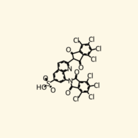 O=C1c2c(Cl)c(Cl)c(Cl)c(Cl)c2C(=O)C1c1ccc2cc(S(=O)(=O)O)cc(N3C(=O)c4c(Cl)c(Cl)c(Cl)c(Cl)c4C3=O)c2n1